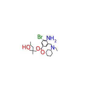 CCCC(C)(CO)COC(=O)c1cc(Br)c(N)c(CN(CC)C2CCCCC2)c1